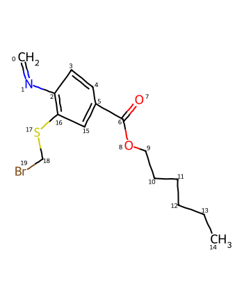 C=Nc1ccc(C(=O)OCCCCCC)cc1SCBr